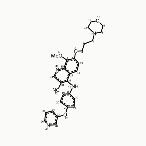 COc1c(OCCCN2CCOCC2)ccc2c(Nc3ccc(Oc4cccnc4)cc3)c(C#N)cnc12